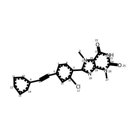 Cn1c(-c2ccc(C#Cc3ccccc3)cc2Cl)nc2c1c(=O)[nH]c(=O)n2C